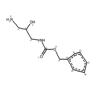 NCC(O)CNC(=O)OCc1ccccc1